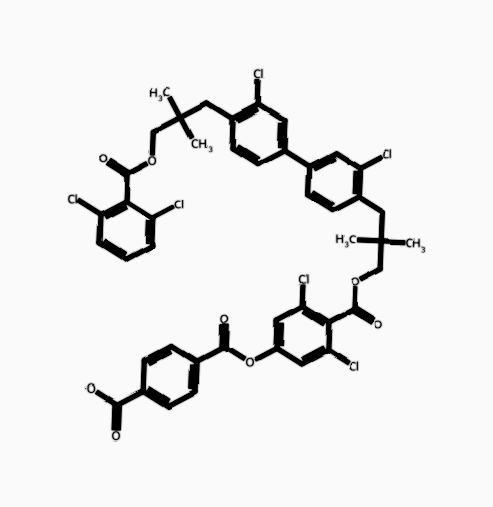 CC(C)(COC(=O)c1c(Cl)c[c]cc1Cl)Cc1ccc(-c2ccc(CC(C)(C)COC(=O)c3c(Cl)cc(OC(=O)c4ccc(C([O])=O)cc4)cc3Cl)c(Cl)c2)cc1Cl